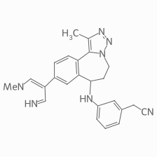 CN/C=C(\C=N)c1ccc2c(c1)C(Nc1cccc(CC#N)c1)CCn1nnc(C)c1-2